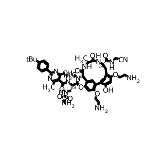 Cc1nc(-c2ccc(C(C)(C)C)cc2)nc(C)c1C(=O)N[C@@H](CNS(N)(=O)=O)C(=O)N(C)[C@@H]1C(=O)N[C@@H](C)C(=O)N[C@H](C(=O)NCC#N)Cc2cc(c(O)cc2OCCN)-c2cc1ccc2OCCN